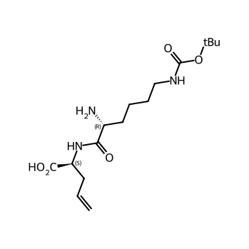 C=CC[C@H](NC(=O)[C@H](N)CCCCNC(=O)OC(C)(C)C)C(=O)O